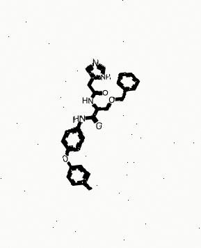 Cc1ccc(Oc2ccc(NC(=O)C(COCc3ccccc3)NC(=O)Cc3cnc[nH]3)cc2)cc1